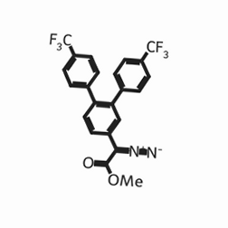 COC(=O)C(=[N+]=[N-])c1ccc(-c2ccc(C(F)(F)F)cc2)c(-c2ccc(C(F)(F)F)cc2)c1